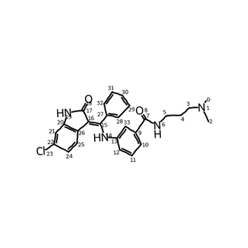 CN(C)CCCNC(=O)c1cccc(NC(=C2C(=O)Nc3cc(Cl)ccc32)c2ccccc2)c1